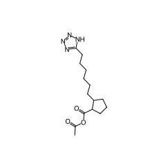 CC(=O)OC(=O)C1CCCC1CCCCCCc1nnn[nH]1